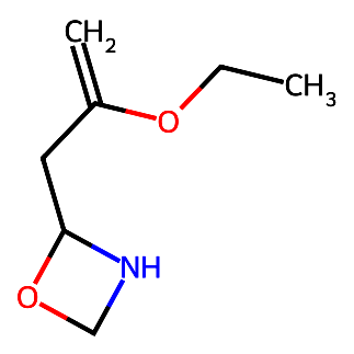 C=C(CC1NCO1)OCC